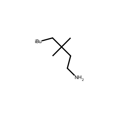 CCC(C)CC(C)(C)CCN